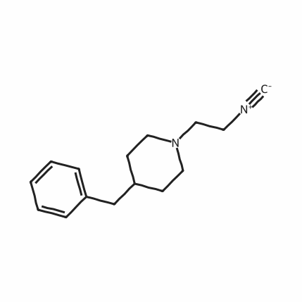 [C-]#[N+]CCN1CCC(Cc2ccccc2)CC1